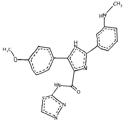 CNc1cccc(-c2nc(C(=O)Nc3nncs3)c(-c3ccc(OC)cc3)[nH]2)c1